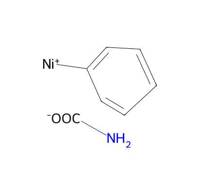 NC(=O)[O-].[Ni+][c]1ccccc1